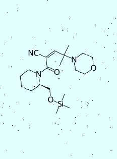 CC(C)(/C=C(/C#N)C(=O)N1CCCC[C@@H]1CO[Si](C)(C)C)N1CCOCC1